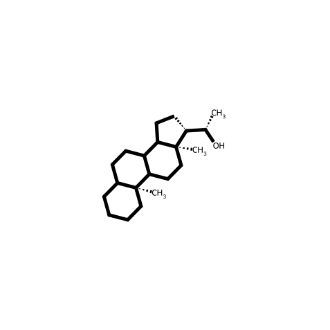 C[C@H](O)[C@H]1CCC2C3CCC4CCCC[C@]4(C)C3CC[C@@]21C